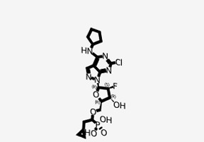 O=P(O)(O)C(CC1CC1)OC[C@H]1O[C@@H](n2ncc3c(NC4CCCC4)nc(Cl)nc32)[C@@H](F)[C@@H]1O